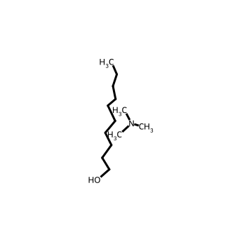 CCCCCCCCCCO.CN(C)C